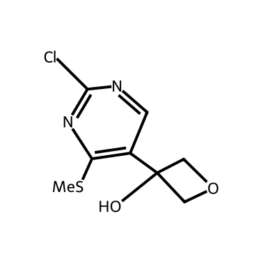 CSc1nc(Cl)ncc1C1(O)COC1